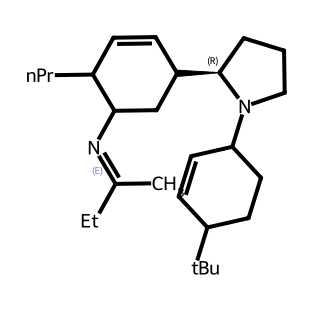 CCCC1C=CC([C@H]2CCCN2C2C=CC(C(C)(C)C)CC2)CC1/N=C(\C)CC